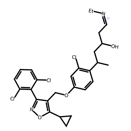 CC/N=C\CC(O)CC(C)c1ccc(OCc2c(-c3c(Cl)cccc3Cl)noc2C2CC2)cc1Cl